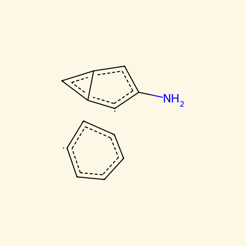 Nc1[c]c2cc-2c1.[c]1ccccc1